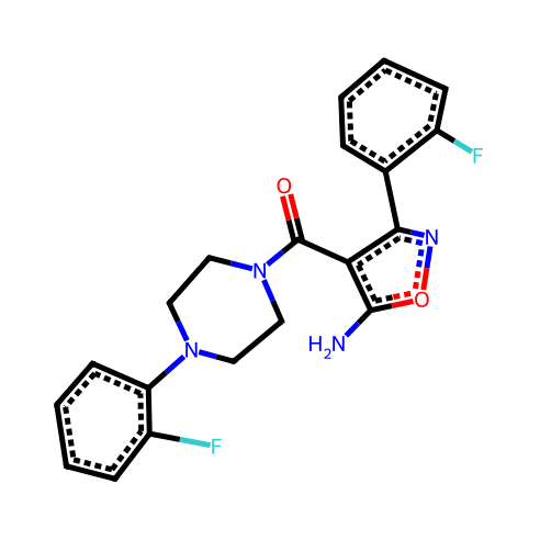 Nc1onc(-c2ccccc2F)c1C(=O)N1CCN(c2ccccc2F)CC1